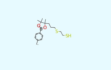 [CH2]c1ccc(B2OC(C)(C)C(C)(CCCSCCS)O2)cc1